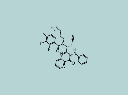 C#CC[C@H](c1nc2cccnc2c(=O)n1Nc1ccccc1)N(CCCN)C(=O)c1ccc(C)c(F)c1F